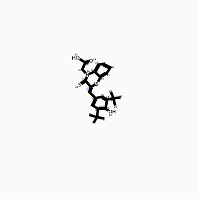 CC(C)(C)c1cc(/C=C2\Sc3ccccc3N(CC(=O)O)C2=S)cc(C(C)(C)C)c1O